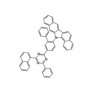 c1ccc(-c2nc(-c3ccc(-n4c5cc6ccccc6cc5c5ccc6ccccc6c54)c(-c4ccccc4)c3)nc(-c3cccc4ccccc34)n2)cc1